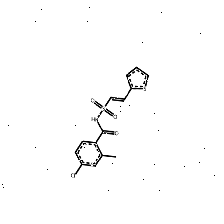 Cc1cc(Cl)ccc1C(=O)NS(=O)(=O)C=Cc1cccs1